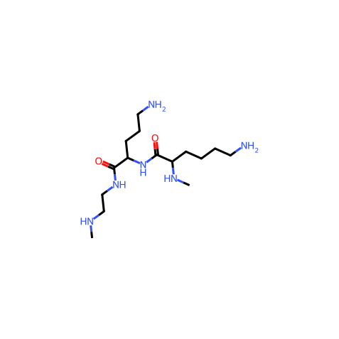 CNCCNC(=O)C(CCCN)NC(=O)C(CCCCN)NC